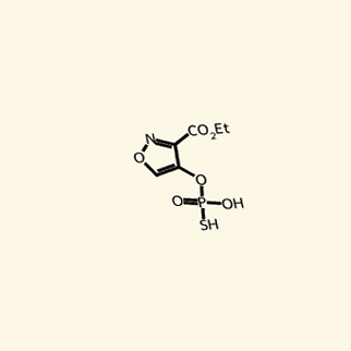 CCOC(=O)c1nocc1OP(=O)(O)S